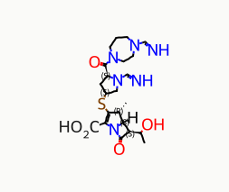 CC(O)[C@H]1C(=O)N2C(C(=O)O)=C(S[C@H]3C[C@@H](C(=O)N4CCCN(C=N)CC4)N(C=N)C3)[C@H](C)[C@H]12